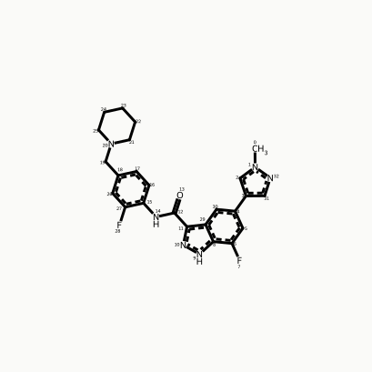 Cn1cc(-c2cc(F)c3[nH]nc(C(=O)Nc4ccc(CN5CCCCC5)cc4F)c3c2)cn1